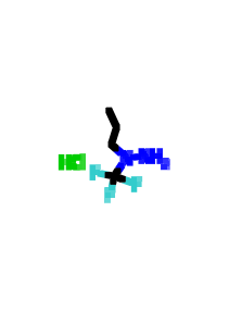 CCCN(N)C(F)(F)F.Cl